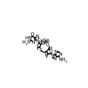 Nc1nc2c(ncn2[C@@H]2S[C@@]3(F)CCC[C@H]4[C@H](F)[C@H](n5cnc6c(N)ncnc65)O[C@@H]4COP(=O)(S)O[C@@H]23)c(=O)[nH]1